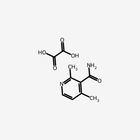 Cc1ccnc(C)c1C(N)=O.O=C(O)C(=O)O